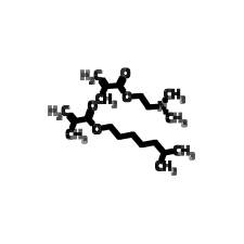 C=C(C)C(=O)OCCCCCC(C)C.C=C(C)C(=O)OCCN(C)C